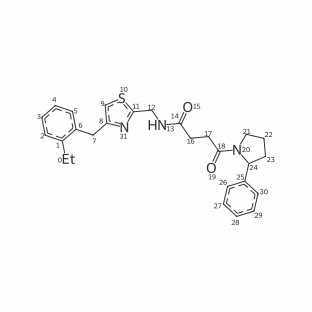 CCc1ccccc1Cc1csc(CNC(=O)CCC(=O)N2CCCC2c2ccccc2)n1